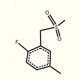 Cc1ccc(F)c(CS(C)(=O)=O)c1